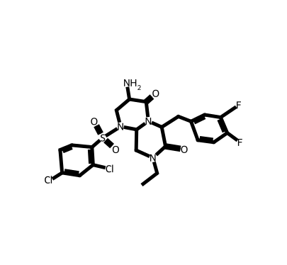 CCN1CC2N(C(=O)C(N)CN2S(=O)(=O)c2ccc(Cl)cc2Cl)C(Cc2ccc(F)c(F)c2)C1=O